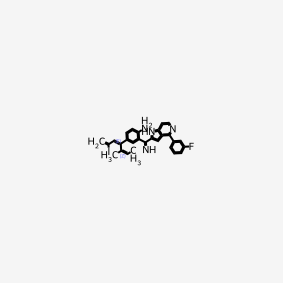 C=C(I)/C=C(\C(C)=C/C)c1ccc(N)c(C(=N)c2cc3c(-c4cccc(F)c4)nccc3[nH]2)c1